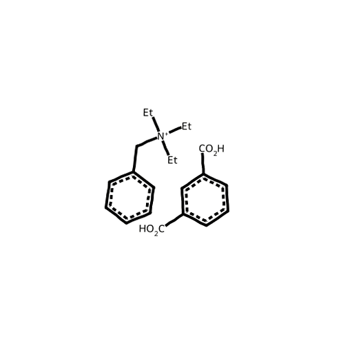 CC[N+](CC)(CC)Cc1ccccc1.O=C(O)c1cccc(C(=O)O)c1